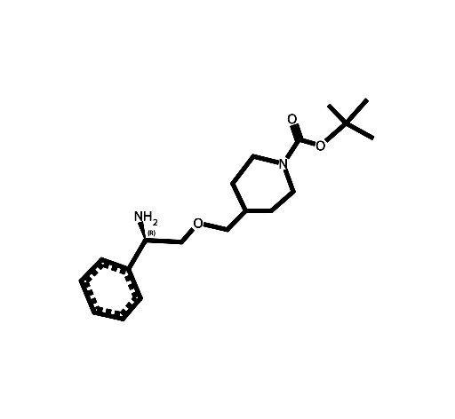 CC(C)(C)OC(=O)N1CCC(COC[C@H](N)c2ccccc2)CC1